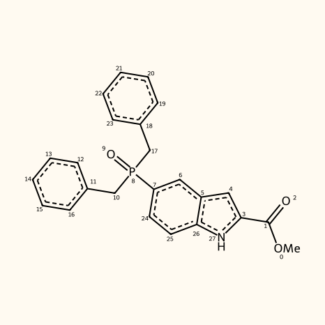 COC(=O)c1cc2cc(P(=O)(Cc3ccccc3)Cc3ccccc3)ccc2[nH]1